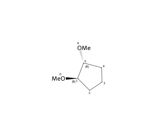 CO[C@@H]1CCC[C@H]1OC